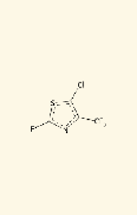 Fc1nc(C(F)(F)F)c(Cl)s1